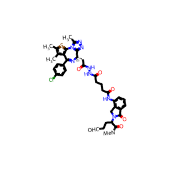 CNC(=O)C(CCC=O)N1Cc2c(NC(=O)CCCC(=O)NNC(=O)C[C@@H]3N=C(c4ccc(Cl)cc4)c4c(sc(C)c4C)-n4c(C)nnc43)cccc2C1=O